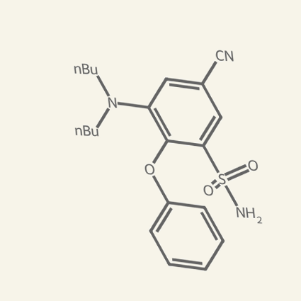 CCCCN(CCCC)c1cc(C#N)cc(S(N)(=O)=O)c1Oc1ccccc1